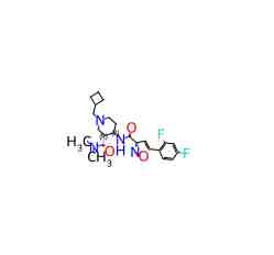 CN(C)C(=O)[C@@H]1CN(CC2CCC2)CC[C@H]1NC(=O)c1cc(-c2ccc(F)cc2F)on1